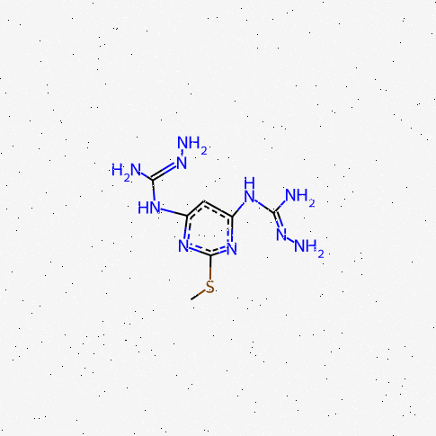 CSc1nc(NC(N)=NN)cc(NC(N)=NN)n1